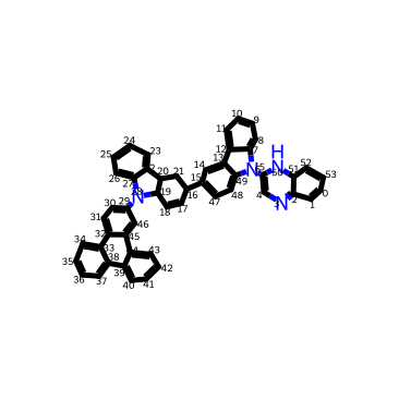 C1=CC2=NC=C(n3c4ccccc4c4cc(C5C=CC6C(C5)c5ccccc5N6c5ccc6c7ccccc7c7ccccc7c6c5)ccc43)NC2C=C1